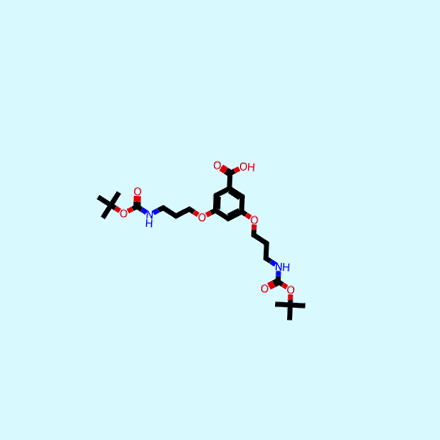 CC(C)(C)OC(=O)NCCCOc1cc(OCCCNC(=O)OC(C)(C)C)cc(C(=O)O)c1